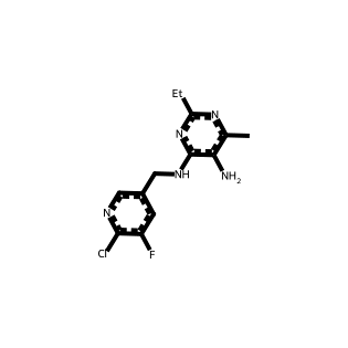 CCc1nc(C)c(N)c(NCc2cnc(Cl)c(F)c2)n1